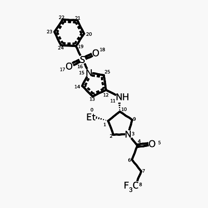 CC[C@H]1CN(C(=O)CCC(F)(F)F)C[C@H]1Nc1ccn(S(=O)(=O)c2ccccc2)c1